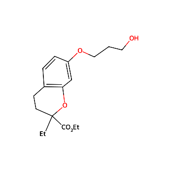 CCOC(=O)C1(CC)CCc2ccc(OCCCO)cc2O1